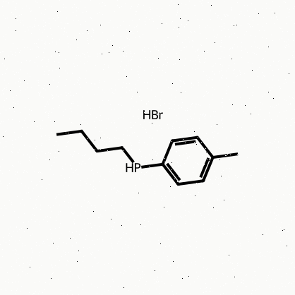 Br.CCCCPc1ccc(C)cc1